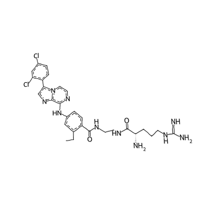 CCc1cc(Nc2nccn3c(-c4ccc(Cl)cc4Cl)cnc23)ccc1C(=O)NCCNC(=O)[C@@H](N)CCCNC(=N)N